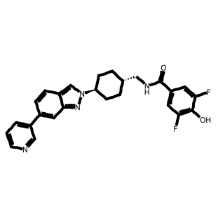 O=C(NC[C@H]1CC[C@H](n2cc3ccc(-c4cccnc4)cc3n2)CC1)c1cc(F)c(O)c(F)c1